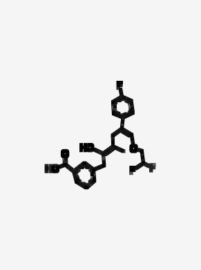 CC(CC(=COCC(F)F)c1ccc(F)cc1)=C(O)Cc1cccc(C(=O)O)c1